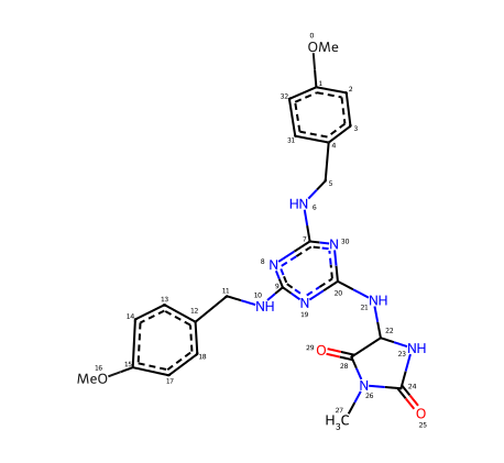 COc1ccc(CNc2nc(NCc3ccc(OC)cc3)nc(NC3NC(=O)N(C)C3=O)n2)cc1